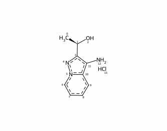 C[C@@H](O)c1nn2ccccc2c1N.Cl